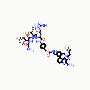 CCCCc1nc2c(N)nc3ccccc3c2n1Cc1ccc(CNC(=O)OCc2ccc(NC(=O)[C@H](CCCNC(=N)N)NC(=O)[C@@H](NC(=O)[C@H](NC(=O)CN)C(C)CC)C(C)C)cc2)cc1